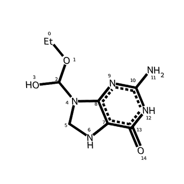 CCOC(O)N1CNc2c1nc(N)[nH]c2=O